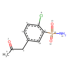 CC(=O)Cc1ccc(Cl)c(S(N)(=O)=O)c1